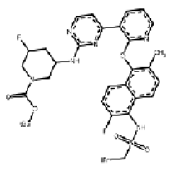 Cc1ccc2c(NS(=O)(=O)CC(C)C)c(F)ccc2c1Oc1ncccc1-c1ccnc(NC2CC(F)CN(C(=O)OC(C)(C)C)C2)n1